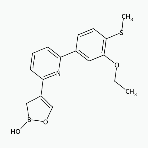 CCOc1cc(-c2cccc(C3=COB(O)C3)n2)ccc1SC